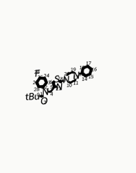 CC(C)(C)C(=O)N(Cc1csc(N2CCN(c3ccccc3)CC2)n1)c1ccc(F)cc1